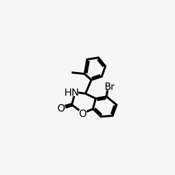 Cc1ccccc1C1NC(=O)Oc2cccc(Br)c21